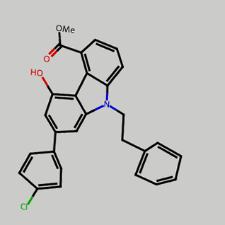 COC(=O)c1cccc2c1c1c(O)cc(-c3ccc(Cl)cc3)cc1n2CCc1ccccc1